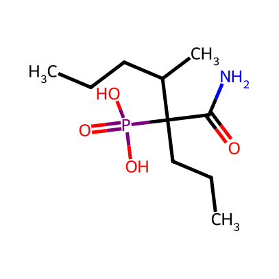 CCCC(C)C(CCC)(C(N)=O)P(=O)(O)O